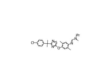 Cc1cc(Oc2nc(C(C)(C)c3ccc(Cl)cc3)ns2)c(C)cc1N=CN(C)C(C)C